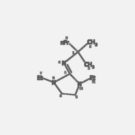 CCCC(C)(C)N=C1N(CC)CCN1CC